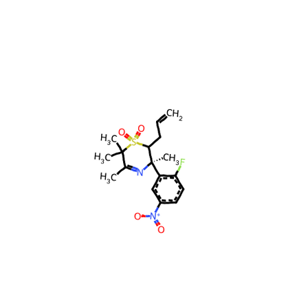 C=CCC1[C@@](C)(c2cc([N+](=O)[O-])ccc2F)N=C(C)C(C)(C)S1(=O)=O